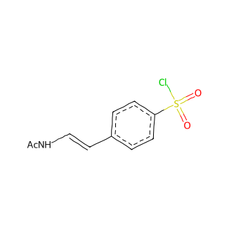 CC(=O)NC=Cc1ccc(S(=O)(=O)Cl)cc1